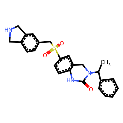 CC(c1ccccc1)N1Cc2cc(S(=O)(=O)Cc3ccc4c(c3)CNC4)ccc2NC1=O